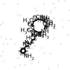 B[C@@H]1[C@@H](C)C(=O)[C@@H](C)C(=O)O[C@H](CC)[C@@](C)(OC#C)[C@H](NCCCCn2cc(-c3cccc(N)c3)nn2)[C@@H](C)NCC(C)(F)C[C@@]1(C)OC